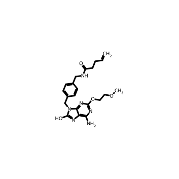 C=CCCC(=O)NCc1ccc(Cn2c(O)nc3c(N)nc(OCCOC)nc32)cc1